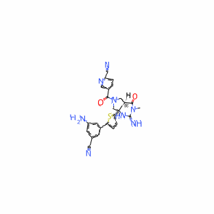 CN1C(=N)N[C@@]2(c3ccc(-c4cc(N)cc(C#N)c4)s3)CN(C(=O)c3ccc(C#N)nc3)C[C@H]2C1=O